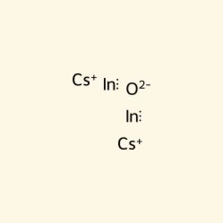 [Cs+].[Cs+].[In].[In].[O-2]